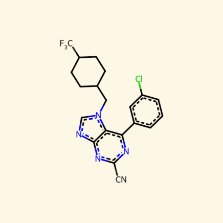 N#Cc1nc(-c2cccc(Cl)c2)c2c(ncn2CC2CCC(C(F)(F)F)CC2)n1